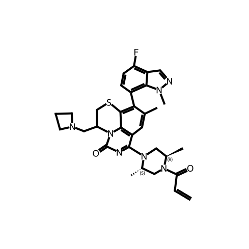 C=CC(=O)N1C[C@H](C)N(c2nc(=O)n3c4c(c(-c5ccc(F)c6cnn(C)c56)c(C)cc24)SCC3CN2CCC2)C[C@H]1C